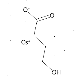 O=C([O-])CCCO.[Cs+]